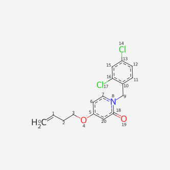 C=CCCOc1ccn(Cc2ccc(Cl)cc2Cl)c(=O)c1